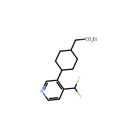 CCOC(=O)CC1CCC(c2cnccc2C(F)F)CC1